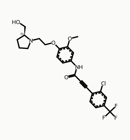 COc1cc(NC(=O)C#Cc2ccc(C(F)(F)F)cc2Cl)ccc1OCCN1CCC[C@H]1CO